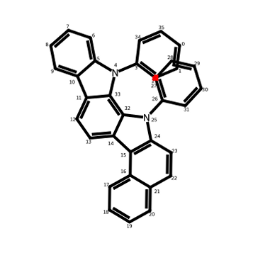 c1ccc(-n2c3ccccc3c3ccc4c5c6ccccc6ccc5n(-c5ccccc5)c4c32)cc1